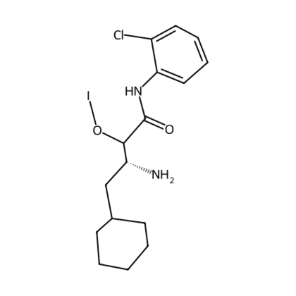 N[C@H](CC1CCCCC1)C(OI)C(=O)Nc1ccccc1Cl